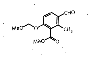 COCOc1ccc(C=O)c(C)c1C(=O)OC